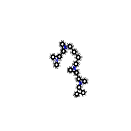 c1ccc(-c2ccccc2-c2cccc(-n3c4ccccc4c4cc(-c5ccc6c(c5)c5ccccc5n6-c5ccc(-c6cccc(-c7ccc(-c8cccc(-n9c%10ccccc%10c%10cc(-c%11ccc%12c(c%11)c%11ccccc%11n%12-c%11ccccc%11)ccc%109)c8)cc7)c6)cc5)ccc43)c2)cc1